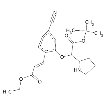 CCOC(=O)C=Cc1ccc(C#N)cc1OC(C(=O)OC(C)(C)C)C1CCCN1